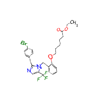 CCOC(=O)CCCCCOc1ccccc1Cn1c(C(F)(F)F)cnc1-c1ccc(Br)cc1